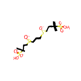 CC(C)(CC[S+]([O-])CCC[S+]([O-])CCC(C)(C)S(=O)(=O)O)S(=O)(=O)O